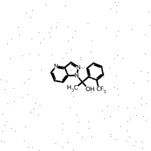 CC(O)(c1ccccc1C(F)(F)F)n1ncc2ncccc21